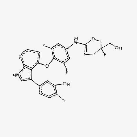 OCC1(F)CN=C(Nc2cc(F)c(Oc3ccnc4[nH]cc(-c5ccc(F)c(O)c5)c34)c(F)c2)OC1